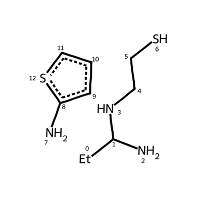 CCC(N)NCCS.Nc1cccs1